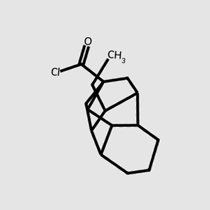 CCC1C2CC3(C(=O)Cl)CC1C1CCCC2C1C3